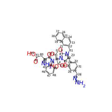 CC(=O)[C@](C(=O)O)(N1C(=O)N(Cc2ccc3ccccc3c2)[C@@](C)(c2ccc(C=NN)cc2)C1=O)N(C(=O)[C@@H](N)CC(=O)O)c1ccccc1